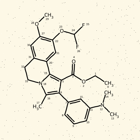 CCOC(=O)c1c(-c2cccc(N(C)C)c2)c(C)n2c1-c1cc(OC(F)F)c(OC)cc1CC2